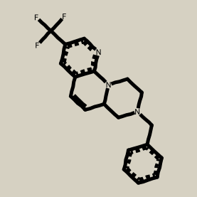 FC(F)(F)c1cnc2c(c1)C=CC1CN(Cc3ccccc3)CCN21